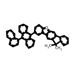 CC1(C)c2ccccc2-c2cc3oc4ccc(-c5c6ccccc6c(-c6cccc7ccccc67)c6ccccc56)cc4c3cc21